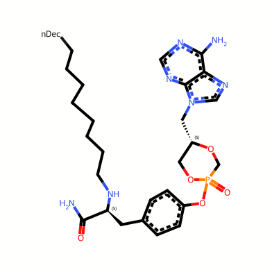 CCCCCCCCCCCCCCCCCCN[C@@H](Cc1ccc(OP2(=O)CO[C@@H](Cn3cnc4c(N)ncnc43)CO2)cc1)C(N)=O